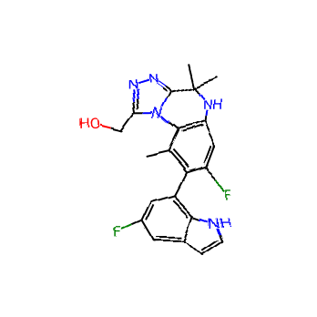 Cc1c(-c2cc(F)cc3cc[nH]c23)c(F)cc2c1-n1c(CO)nnc1C(C)(C)N2